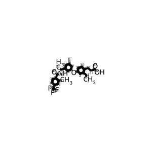 CCc1cc(Oc2cc(F)cc([C@@H](C)NC(=O)c3ccc(C(F)(F)F)cc3C)c2)ccc1CCC(=O)O